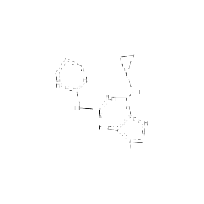 c1ccc(Nc2nc(NC3CC3)c3nc[nH]c3n2)nc1